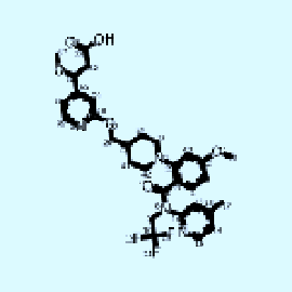 COc1ccc(C(=O)N(CC(F)(F)F)c2cc(C)ccn2)c(N2CCC(COc3cc(C(CC(=O)O)OC)ccn3)CC2)c1